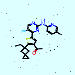 CCC1(c2sc(-c3nc(Nc4ccc(C)cn4)ncc3F)cc2C(C)=O)CC2(CC2)C1